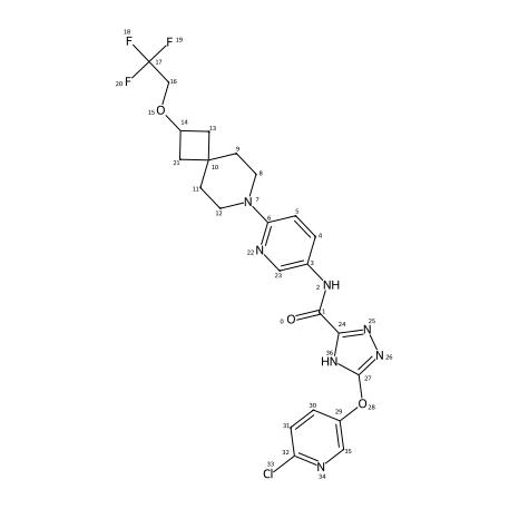 O=C(Nc1ccc(N2CCC3(CC2)CC(OCC(F)(F)F)C3)nc1)c1nnc(Oc2ccc(Cl)nc2)[nH]1